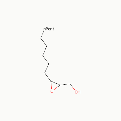 CCCCCCCCCCC1OC1CO